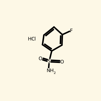 Cl.NS(=O)(=O)c1cccc(F)c1